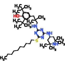 CCCCCCCCCCSc1nc(NCC(C)(C)Cc2cc(C(C)(C)C)c(O)c(C(C)(C)C)c2)nc(NC2CC(C)(C)NC(C)(C)C2)n1